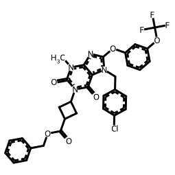 Cn1c(=O)n(C2CC(C(=O)OCc3ccccc3)C2)c(=O)c2c1nc(Oc1cccc(OC(F)(F)F)c1)n2Cc1ccc(Cl)cc1